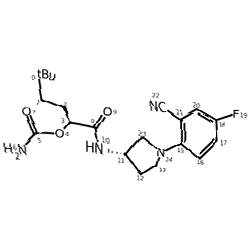 CC(C)(C)CC[C@H](OC(N)=O)C(=O)N[C@H]1CCN(c2ccc(F)cc2C#N)C1